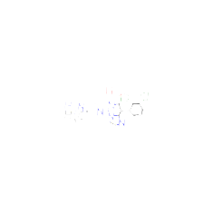 CC1(N)CCN(c2nc(CO)c(-c3cccc(Cl)c3Cl)c3nccn23)CC1